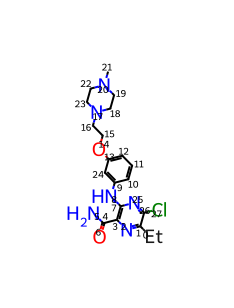 CCc1nc(C(N)=O)c(Nc2cccc(OCCN3CCN(C)CC3)c2)nc1Cl